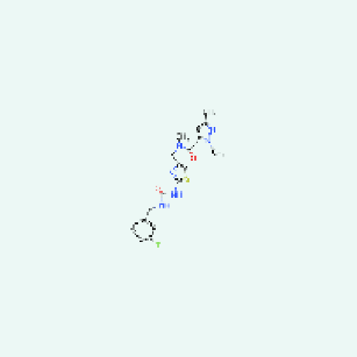 Cc1cc(C(=O)N(C)Cc2csc(NC(=O)NCc3cccc(F)c3)n2)n(C)n1